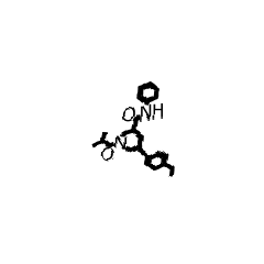 CCc1ccc(C2CC(C(=O)Nc3ccccc3)CN(C(=O)C(C)C)C2)cc1